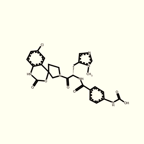 Cn1cncc1C[C@H](NC(=O)c1ccc(NC(=O)O)cc1)C(=O)N1CCC2(C1)OC(=O)Nc1ccc(Cl)cc12